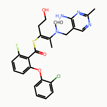 CC(=C(CCO)SC(=O)c1c(F)cccc1Oc1ccccc1Cl)N(C=O)Cc1cnc(C)nc1N